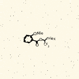 CCCCCCC(OC(=O)c1cc[c]cc1OC)C(F)(F)F